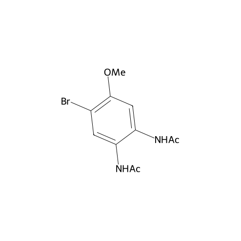 COc1cc(NC(C)=O)c(NC(C)=O)cc1Br